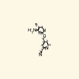 N#Cc1cc(COc2ncc(F)c(N)n2)ccn1